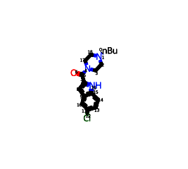 CCCCN1CCN(C(=O)c2cc3cc(Cl)ccc3[nH]2)CC1